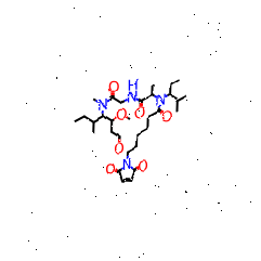 CCC(C)C(C(CC=O)OC)N(C)C(=O)CNC(=O)C(C)N(C(=O)CCCCCN1C(=O)C=CC1=O)C(CC)C(C)C